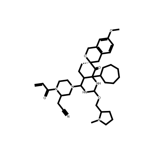 C=CC(=O)N1CCN(C2NC(OCC3CCCN3C)NC3(C4CCCCCC4)C(=O)[C@]4(CCC23)Cc2ccc(OC)cc2CO4)CC1CC#N